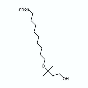 CCCCCCCCCCCCCCCCCCOC(C)(C)CCO